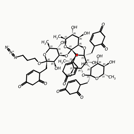 C[C@@H]1O[C@@](CC2C=CC(=O)CC2=O)(O[C@@H]2[C@@H](O)[C@H](C)O[C@@](CC3C=CC(=O)CC3=O)(O[C@@H]3[C@H](O)[C@@H](O)[C@H](C)O[C@@]3(CC3=CCC(=O)C=C3)O[C@@H]3[C@@H](O)[C@H](C)O[C@@](CC4C=CC(=O)CC4=O)(OCCCN=[N+]=[N-])[C@@H]3O)[C@@H]2O)[C@H](O)[C@H](O)[C@H]1O